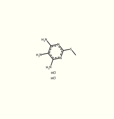 CSc1nc(N)c(N)c(N)n1.Cl.Cl